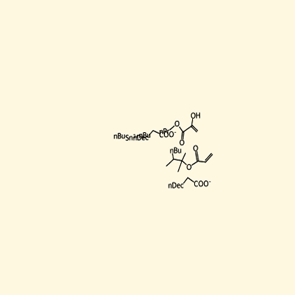 C=C(O)C(=O)OCCC.C=CC(=O)OC(C)(C)C(C)CCCC.CCCCCCCCCCCC(=O)[O-].CCCCCCCCCCCC(=O)[O-].CCC[CH2][Sn+2][CH2]CCC